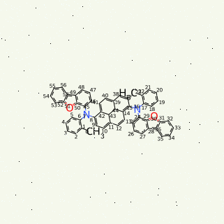 Cc1ccccc1N(C1=CC=C2C=CC3=C(N(c4ccccc4C)c4cccc5c4oc4ccccc45)C=CC4=CC=C1C2C43)c1cccc2c1oc1ccccc12